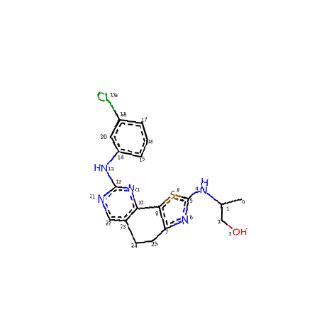 CC(CO)Nc1nc2c(s1)-c1nc(Nc3cccc(Cl)c3)ncc1CC2